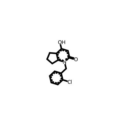 O=c1cc(O)c2c(n1Cc1ccccc1Cl)CCC2